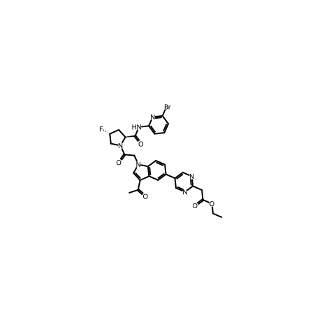 CCOC(=O)Cc1ncc(-c2ccc3c(c2)c(C(C)=O)cn3CC(=O)N2C[C@H](F)C[C@H]2C(=O)Nc2cccc(Br)n2)cn1